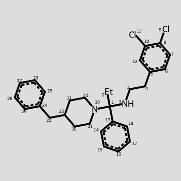 [CH2]CC(NCCc1ccc(Cl)c(Cl)c1)(c1ccccc1)N1CCC(Cc2ccccc2)CC1